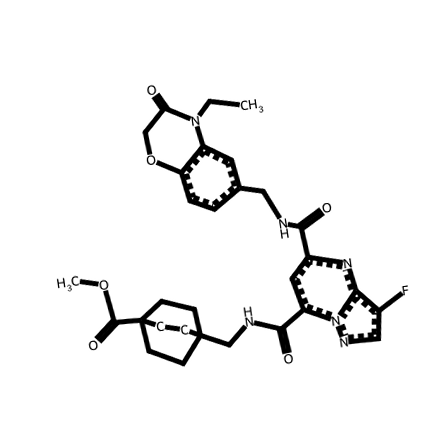 CCN1C(=O)COc2ccc(CNC(=O)c3cc(C(=O)NCC45CCC(C(=O)OC)(CC4)CC5)n4ncc(F)c4n3)cc21